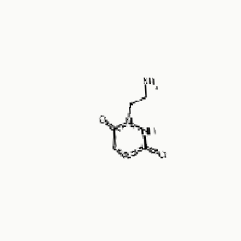 NCCn1[nH]c(=O)ccc1=O